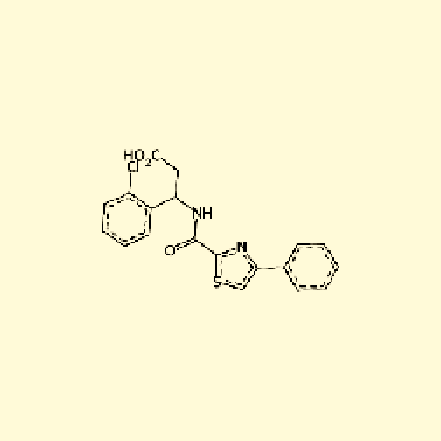 O=C(O)CC(NC(=O)c1nc(-c2ccccc2)cs1)c1ccccc1Cl